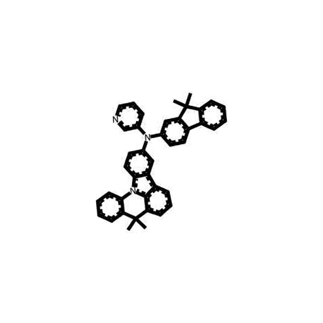 CC1(C)c2ccccc2-c2ccc(N(c3cccnc3)c3ccc4c(c3)c3cccc5c3n4-c3ccccc3C5(C)C)cc21